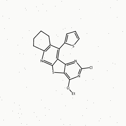 CCOc1nc(Cl)nc2c1sc1nc3c(c(-c4cccs4)c12)CCCC3